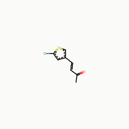 CC(=O)/C=C/c1csc(Cl)c1